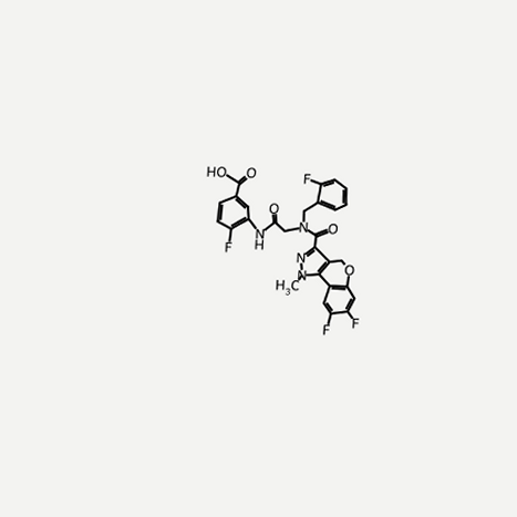 Cn1nc(C(=O)N(CC(=O)Nc2cc(C(=O)O)ccc2F)Cc2ccccc2F)c2c1-c1cc(F)c(F)cc1OC2